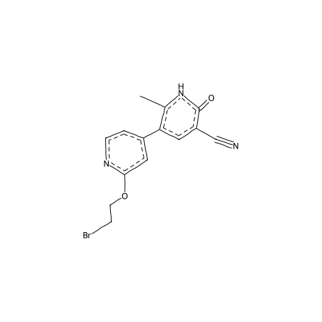 Cc1[nH]c(=O)c(C#N)cc1-c1ccnc(OCCBr)c1